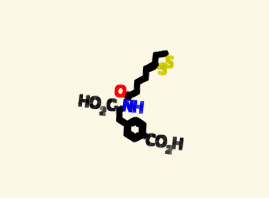 O=C(CCC/C=C1/CCSS1)N[C@H](Cc1ccc(C(=O)O)cc1)C(=O)O